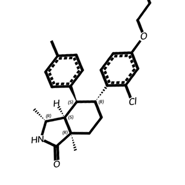 Cc1ccc([C@@H]2[C@@H]3[C@@H](C)NC(=O)[C@]3(C)CC[C@H]2c2ccc(OCCO)cc2Cl)cc1